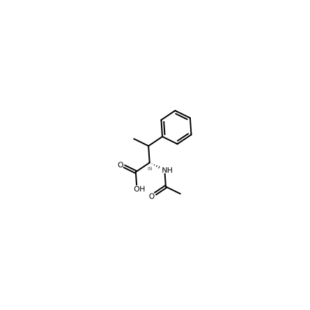 CC(=O)N[C@H](C(=O)O)C(C)c1ccccc1